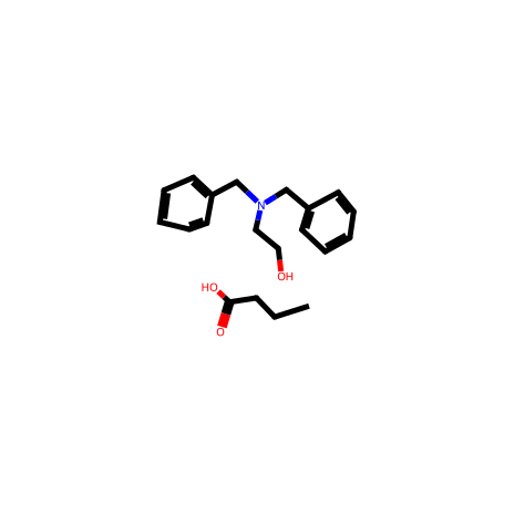 CCCC(=O)O.OCCN(Cc1ccccc1)Cc1ccccc1